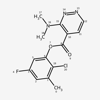 Cc1cc(F)cc(OC(=O)c2ccnnc2N(C)C)c1Cl